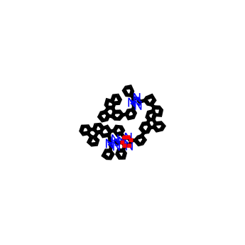 c1ccc(-c2nc(-c3cccc(-c4ccc5c(c4)c4ccccc4c4c6cccc(-c7cccc(-c8nc(-c9ccccc9)nc(-c9cccc(-c%10ccc%11c%12ccccc%12c%12ccc%13ccccc%13c%12c%11c%10)c9)n8)c7)c6ccc54)c3)nc(-c3cccc(-c4cc5ccc6c7ccccc7c7ccccc7c6c5cc4-c4nc(-c5ccccc5)nc(-c5ccccc5)n4)c3)n2)cc1